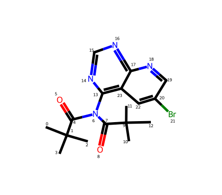 CC(C)(C)C(=O)N(C(=O)C(C)(C)C)c1ncnc2ncc(Br)cc12